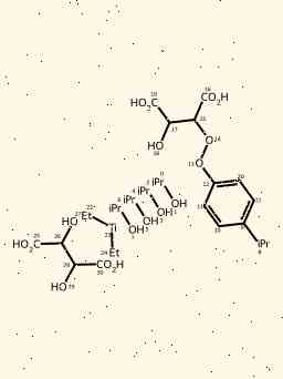 CC(C)O.CC(C)O.CC(C)O.CC(C)O.CC(C)c1ccc(OOC(C(=O)O)C(O)C(=O)O)cc1.C[CH2][Ti][CH2]C.O=C(O)C(O)C(O)C(=O)O